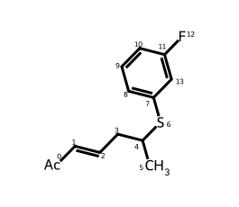 CC(=O)C=CCC(C)Sc1cccc(F)c1